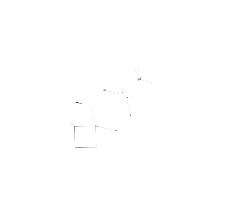 CC(C)(C)OC(=O)N1CCC2(CCC2)[C@@H](O)C1